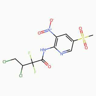 CS(=O)(=O)c1cnc(NC(=O)C(F)(F)C(Cl)CCl)c([N+](=O)[O-])c1